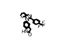 O=C1Cc2cc(-n3c(C4=CCC(C(F)(F)F)C=C4)nc4cccnc43)ccc2N1